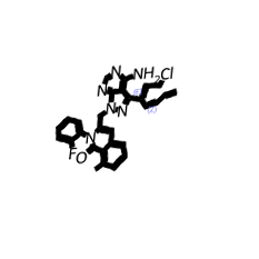 C=C/C=C\C(=C/CCl)c1nn(Cc2cc3cccc(C)c3c(=O)n2-c2ccccc2F)c2ncnc(N)c12